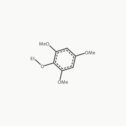 CCOc1c(OC)cc(OC)cc1OC